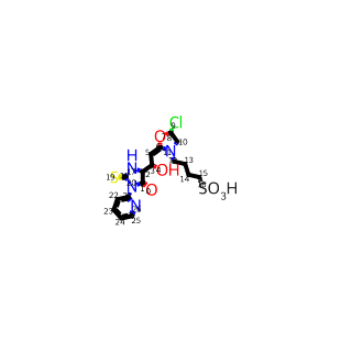 O=C1C(C(O)C=C2OC(Cl)CN2CCCCS(=O)(=O)O)NC(=S)N1c1ccccn1